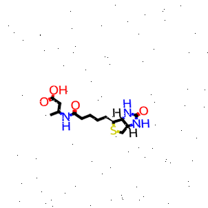 CC(CC(=O)O)NC(=O)CCCC[C@@H]1SC[C@@H]2NC(=O)N[C@@H]21